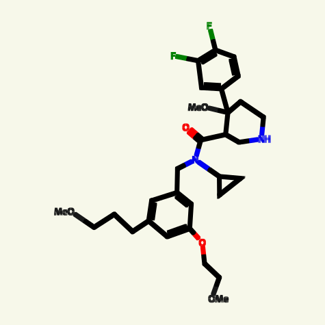 COCCCc1cc(CN(C(=O)C2CNCCC2(OC)c2ccc(F)c(F)c2)C2CC2)cc(OCCOC)c1